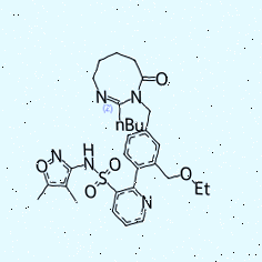 CCCC/C1=N/CCCCC(=O)N1Cc1ccc(-c2ncccc2S(=O)(=O)Nc2noc(C)c2C)c(COCC)c1